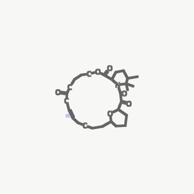 CC1CCC2C(=O)OCCCCC(=O)C/C=C\CCCCC3CCCC(C)(O3)C(=O)C(=O)N2C1(C)C